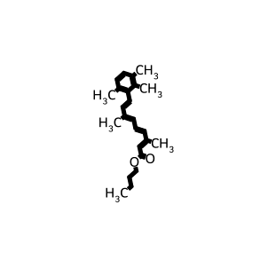 CCCCOC(=O)C=C(C)C=CC=C(C)C=Cc1c(C)ccc(C)c1C